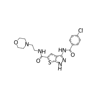 O=C(Nc1n[nH]c2sc(C(=O)NCCN3CCOCC3)cc12)c1ccc(Cl)cc1